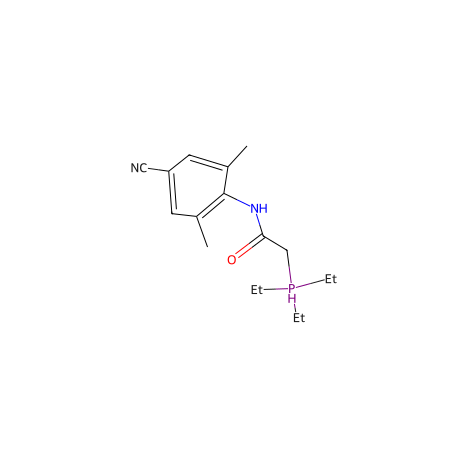 CC[PH](CC)(CC)CC(=O)Nc1c(C)cc(C#N)cc1C